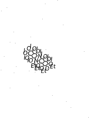 CCOc1c(OCC)c(OCC)c2c(OCC)c3c(c(OI)c2c1OI)N(I)c1c(c(OI)c2c(OI)c(OI)c(OI)c(OI)c2c1OI)N3I